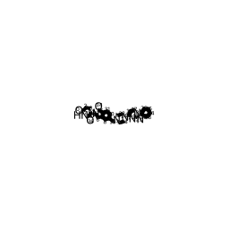 O=C1CCN(N2Cc3cc(CN4CCN(c5ccn6c(n5)nc5ccccc56)CC4)ccc3C2=O)C(=O)N1